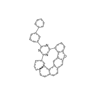 c1ccc(-c2cccc(-c3nc(-c4ccccc4)nc(-c4cccc5oc6cc7ccc8ccccc8c7cc6c45)n3)c2)cc1